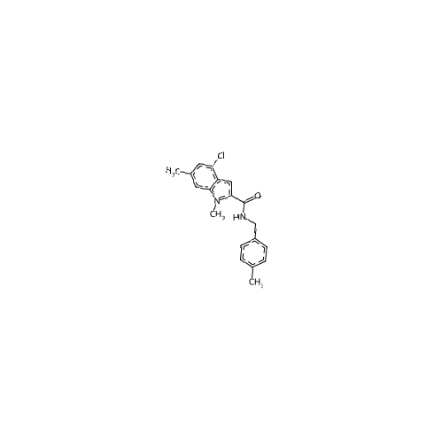 Cc1ccc(CNC(=O)c2cc3c(Cl)cc(C)cc3n2C)cc1